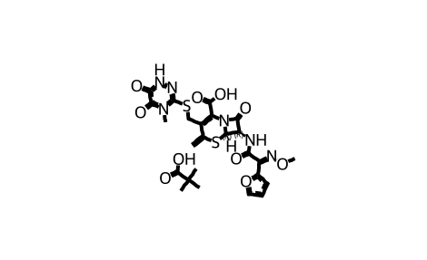 C=C1S[C@@H]2[C@H](NC(=O)C(=NOC)c3ccco3)C(=O)N2C(C(=O)O)=C1CSc1n[nH]c(=O)c(=O)n1C.CC(C)(C)C(=O)O